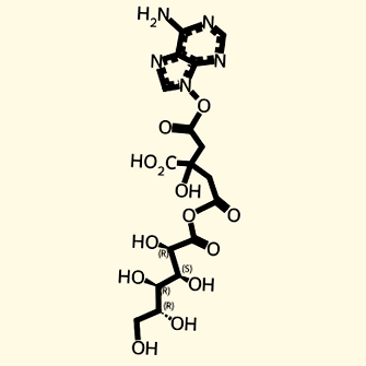 Nc1ncnc2c1ncn2OC(=O)CC(O)(CC(=O)OC(=O)[C@H](O)[C@@H](O)[C@H](O)[C@H](O)CO)C(=O)O